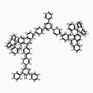 C1=CC(c2nc(-c3ccccc3)nc(-c3ccc(-c4ccc5c(c4)nc(-c4ccc(C6=CCC(C7=CC(c8ccccc8)NC(c8ccccc8)=N7)C=C6)cc4)c4c6c(ccc45)C4(c5ccccc5O6)c5ccccc5-c5ccccc54)cc3)n2)CC=C1c1ccc(-c2nc3ccccc3c3ccc4c(c23)Oc2ccccc2C42c3ccccc3-c3ccccc32)cc1